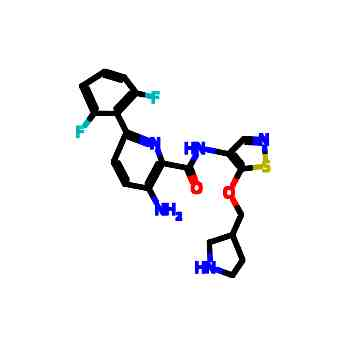 Nc1ccc(-c2c(F)cccc2F)nc1C(=O)Nc1cnsc1OCC1CCNC1